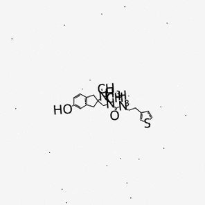 CN(C)C1(CNC(=O)NCCc2ccsc2)Cc2ccc(O)cc2C1